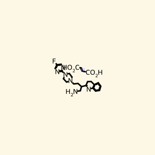 NCC(CCN1CCN(c2ncc(F)cn2)CC1)C1=Nc2ccccc2CC1.O=C(O)/C=C/C(=O)O